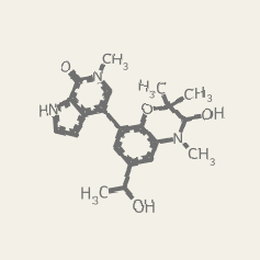 CC(O)c1cc(-c2cn(C)c(=O)c3[nH]ccc23)c2c(c1)N(C)C(O)C(C)(C)O2